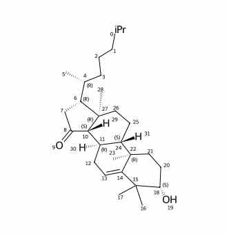 CC(C)CCC[C@@H](C)[C@H]1CC(=O)[C@H]2[C@@H]3CC=C4C(C)(C)[C@@H](O)CC[C@]4(C)[C@H]3CC[C@]12C